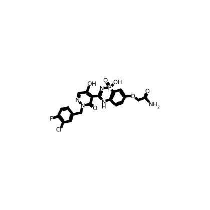 NC(=O)COc1ccc2c(c1)P(=O)(O)N=C(c1c(O)cnn(Cc3ccc(F)c(Cl)c3)c1=O)N2